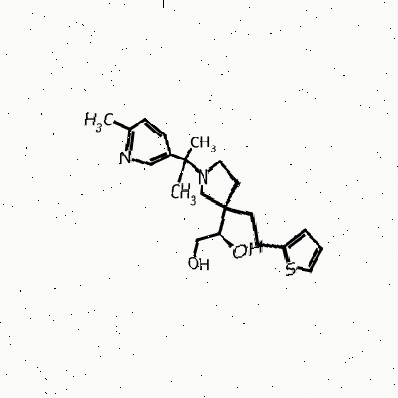 Cc1ccc(C(C)(C)N2CCC(CCc3cccs3)([C@@H](O)CO)C2)cn1